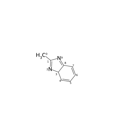 CC1=NC2C=CC=CC2=N1